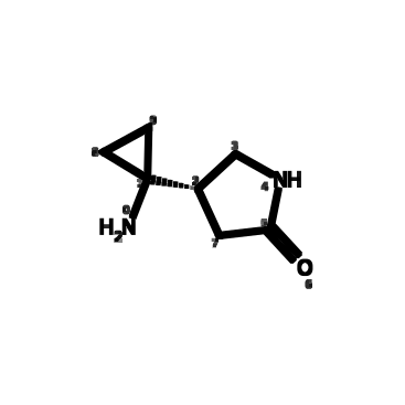 NC1([C@@H]2CNC(=O)C2)CC1